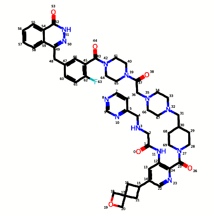 O=C(CNCc1ccncn1)Nc1cc(C2CC3(COC3)C2)cnc1C(=O)N1CCC(CN2CCN(CC(=O)N3CCN(C(=O)c4cc(Cc5n[nH]c(=O)c6ccccc56)ccc4F)CC3)CC2)CC1